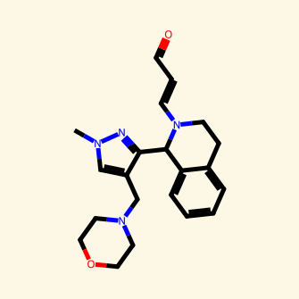 Cn1cc(CN2CCOCC2)c(C2c3ccccc3CCN2C=CC=O)n1